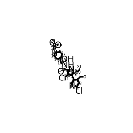 CCc1cc(Cl)ncc1-c1c(Cl)c(C(=O)NC[C@]2(O)CC[C@@H](C[SH](=O)=O)CC2)nn1CC